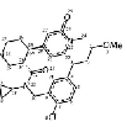 COCCCc1ccc(Cl)c(CN(C(=O)[C@@H]2CNCC[C@H]2c2ccn(C)c(=O)c2)C2CC2)c1